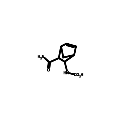 NC(=O)C1C2C=CC(C2)C1NC(=O)O